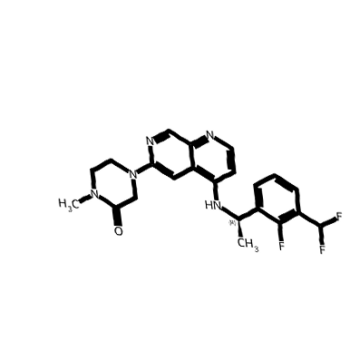 C[C@@H](Nc1ccnc2cnc(N3CCN(C)C(=O)C3)cc12)c1cccc(C(F)F)c1F